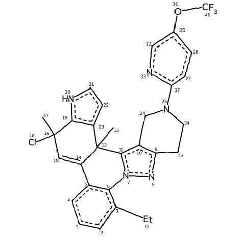 CCc1cccc2c1-n1nc3c(c1C1(C)C2=CC(C)(Cl)c2[nH]ccc21)CN(c1ccc(OC(F)(F)F)cn1)CC3